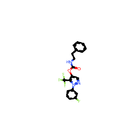 O=C(NCCc1ccccc1)Oc1cnn(-c2cccc(F)c2)c1C(F)(F)F